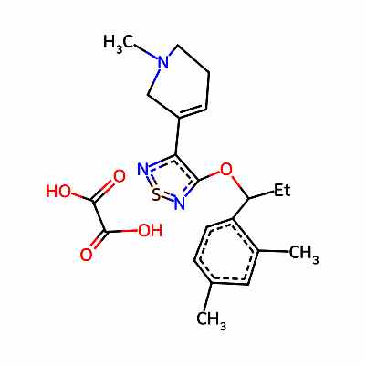 CCC(Oc1nsnc1C1=CCCN(C)C1)c1ccc(C)cc1C.O=C(O)C(=O)O